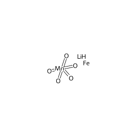 [Fe].[LiH].[O]=[Mn](=[O])(=[O])(=[O])=[O]